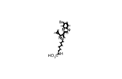 O=C(O)NCCCCCCn1cc(-c2cnc3ccc(Br)cc3n2)c(C2CC2)n1